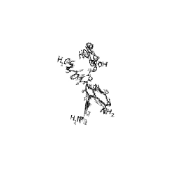 CSSCO[C@H]1C[C@H](n2cc(C#CCN)c3c(N)ncnc32)OC1COP(=O)(O)O[PH](=O)O